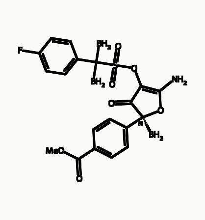 BC(B)(c1ccc(F)cc1)S(=O)(=O)OC1=C(N)O[C@@](B)(c2ccc(C(=O)OC)cc2)C1=O